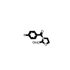 O=CC1OCCN1C(=O)c1ccc(F)cc1